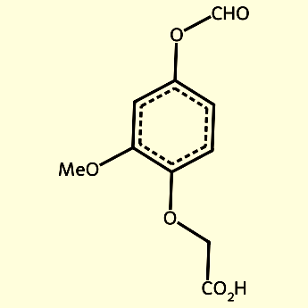 COc1cc(OC=O)ccc1OCC(=O)O